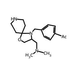 CC(=O)c1ccc(CN2C(CN(C)C)COC23CCNCC3)cc1